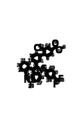 COC(=O)c1ccc(-c2cccc(-c3c(C4=C(C#N)CCCC4)c4cc(F)ccc4n3Sc3ccc(C(F)F)cc3)c2)c(Cl)c1